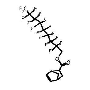 O=C(OCC(F)(F)C(F)(F)C(F)(F)C(F)(F)C(F)(F)C(F)(F)C(F)(F)C(F)(F)F)C1CC2C=CC1C2